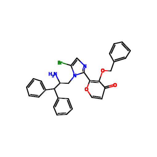 NC(Cn1c(Br)cnc1-c1occc(=O)c1OCc1ccccc1)C(c1ccccc1)c1ccccc1